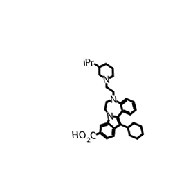 CC(C)C1CCCN(CCN2CCn3c(c(C4CCCCC4)c4ccc(C(=O)O)cc43)-c3ccccc32)C1